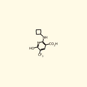 O=C(O)c1cc(C(F)(F)F)c(O)nc1NC1CCC1